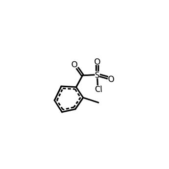 Cc1ccccc1C(=O)S(=O)(=O)Cl